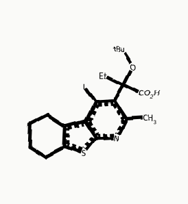 CCC(OC(C)(C)C)(C(=O)O)c1c(C)nc2sc3c(c2c1I)CCCC3